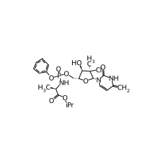 C=C1C=CN([C@@H]2O[C@H](COP(=O)(N[C@H](C)C(=O)OC(C)C)Oc3ccccc3)[C@@H](O)[C@@]2(C)Cl)C(=O)N1